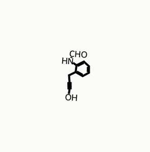 O=CNc1ccccc1CC#CO